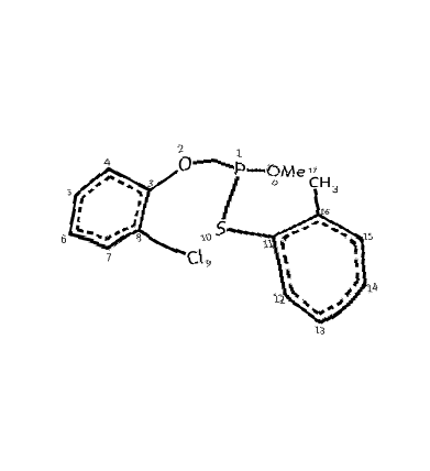 COP(Oc1ccccc1Cl)Sc1ccccc1C